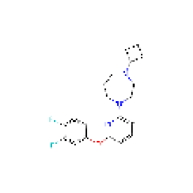 Fc1ccc(OC2C=C[C]=C(N3CCCN(C4CCC4)CC3)N2)cc1F